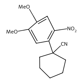 COc1cc([N+](=O)[O-])c(C2(C#N)CCCCC2)cc1OC